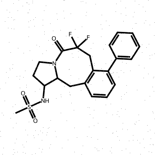 CS(=O)(=O)NC1CCN2C(=O)C(F)(F)Cc3c(cccc3-c3ccccc3)CC12